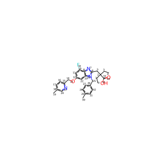 CCC(CC)(Cc1nc2c(F)cc(OCc3ccc(C)cn3)cc2n1Cc1ccc(C)cc1)C(=O)O